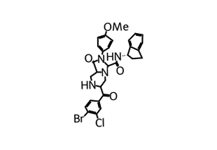 COc1ccc(N2C(=O)C3CNC(C(=O)c4ccc(Br)c(Cl)c4)CN3C2C(=O)N[C@H]2CCc3ccccc32)cc1